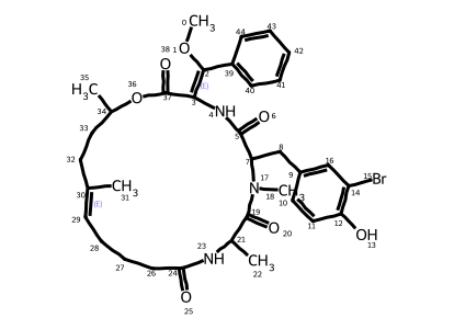 CO/C(=C1/NC(=O)C(Cc2ccc(O)c(Br)c2)N(C)C(=O)C(C)NC(=O)CCC/C=C(\C)CCC(C)OC1=O)c1ccccc1